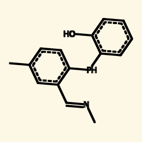 C/N=C/c1cc(C)ccc1Pc1ccccc1O